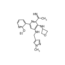 CCOc1ncccc1-c1cc(NCc2cnn(C)c2)c(NC2COC2)c(C(C)=N)n1